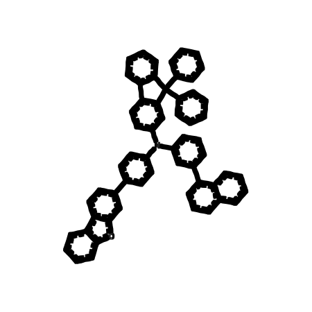 c1ccc(C2(c3ccccc3)c3ccccc3-c3ccc(N(c4ccc(-c5ccc6c(c5)oc5ccccc56)cc4)c4cccc(-c5cccc6ccccc56)c4)cc32)cc1